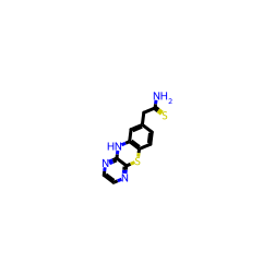 NC(=S)Cc1ccc2c(c1)Nc1nccnc1S2